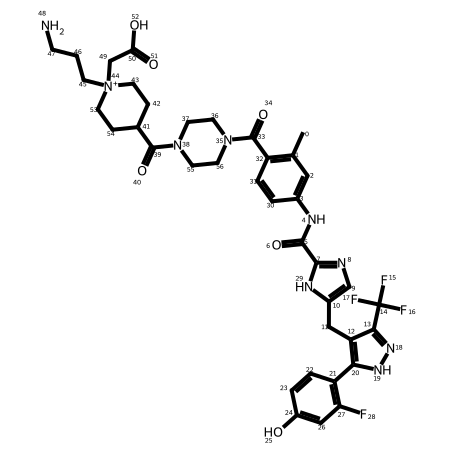 Cc1cc(NC(=O)c2ncc(Cc3c(C(F)(F)F)n[nH]c3-c3ccc(O)cc3F)[nH]2)ccc1C(=O)N1CCN(C(=O)C2CC[N+](CCCN)(CC(=O)O)CC2)CC1